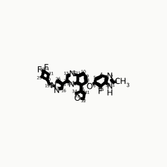 Cc1nc2ccc(Oc3ccc4ncc(-c5cnn(CC6CC(F)(F)C6)c5)nc4c3C3=CCOC3)c(F)c2[nH]1